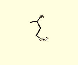 CC(C)C(C)CC[C]=O